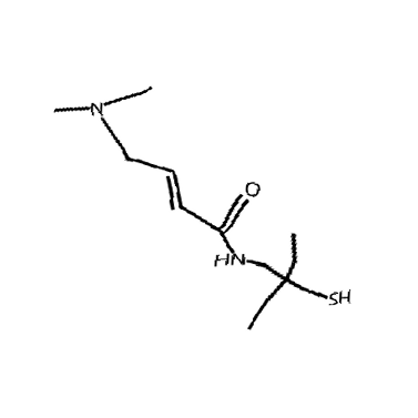 CN(C)C/C=C/C(=O)NC(C)(C)S